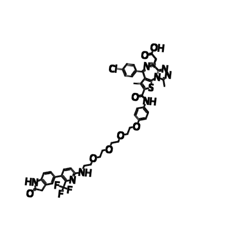 Cc1c(C(=O)Nc2ccc(OCCOCCOCCOCCNc3ccc(-c4ccc5c(c4)CC(=O)N5)c(C(F)(F)F)n3)cc2)sc2c1C(c1ccc(Cl)cc1)=N[C@@H](CC(=O)O)c1nnc(C)n1-2